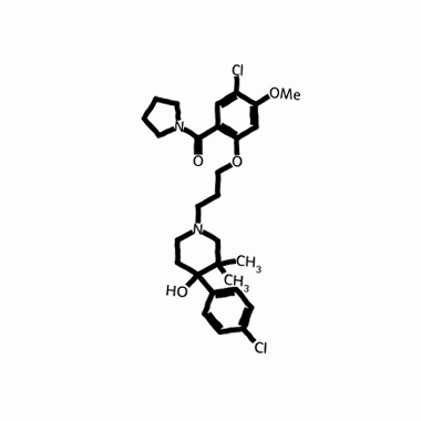 COc1cc(OCCCN2CCC(O)(c3ccc(Cl)cc3)C(C)(C)C2)c(C(=O)N2CCCC2)cc1Cl